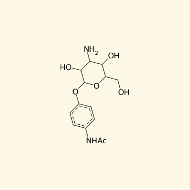 CC(=O)Nc1ccc(OC2OC(CO)C(O)C(N)C2O)cc1